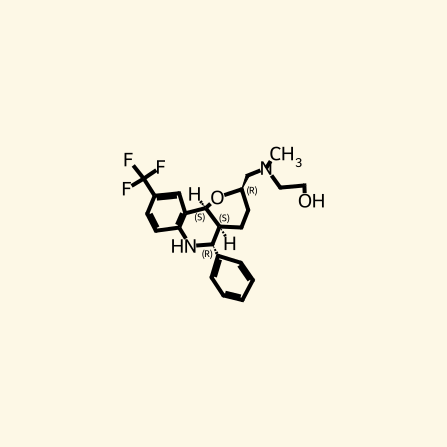 CN(CCO)C[C@H]1CC[C@@H]2[C@H](O1)c1cc(C(F)(F)F)ccc1N[C@H]2c1ccccc1